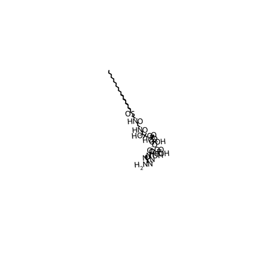 CCCCCCCCCCCC=CC=CC=CC=CC(=O)SCCNC(=O)CCNC(=O)[C@H](O)C(C)(C)COP(=O)(O)OP(=O)(O)OC[C@H]1O[C@@H](n2cnc3c(N)ncnc32)[C@H](O)[C@@H]1OP(=O)(O)O